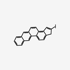 IC1=Cc2c(ccc3c2ccc2cc4ccccc4cc23)C1